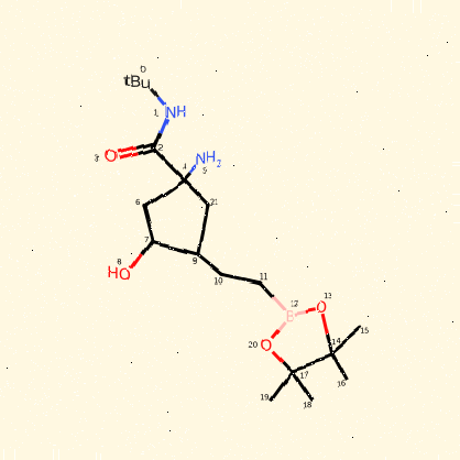 CC(C)(C)NC(=O)C1(N)CC(O)C(CCB2OC(C)(C)C(C)(C)O2)C1